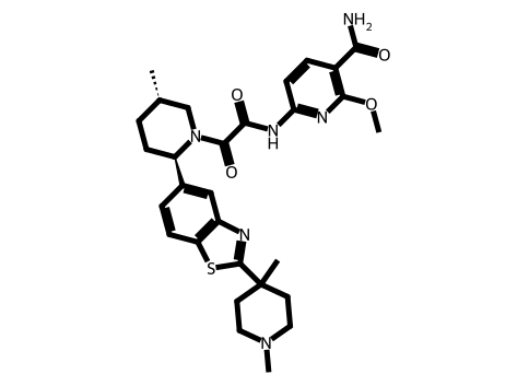 COc1nc(NC(=O)C(=O)N2C[C@@H](C)CC[C@@H]2c2ccc3sc(C4(C)CCN(C)CC4)nc3c2)ccc1C(N)=O